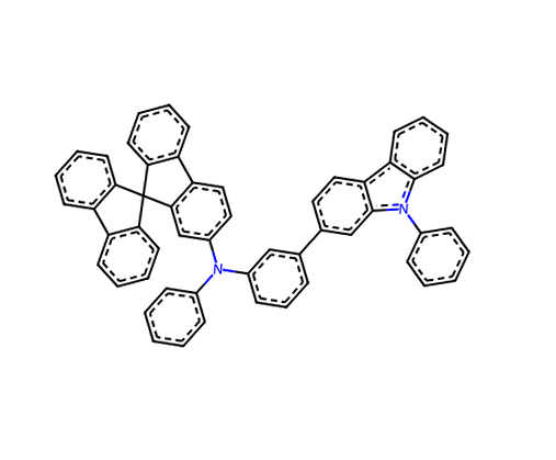 c1ccc(N(c2cccc(-c3ccc4c5ccccc5n(-c5ccccc5)c4c3)c2)c2ccc3c(c2)C2(c4ccccc4-c4ccccc42)c2ccccc2-3)cc1